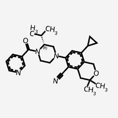 CC(C)[C@@H]1CN(c2cc(C3CC3)c3c(c2C#N)CC(C)(C)OC3)CCN1C(=O)c1cccnc1